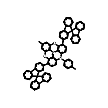 Cc1ccc(N2c3ccc(-c4ccc5c(c4)C4(c6ccccc6-c6ccccc64)c4ccccc4-5)c4c3P3(=S)c5c(cc(C)cc5Oc5c(-c6ccc7c(c6)C6(c8ccccc8-c8ccccc86)c6ccccc6-7)ccc2c53)O4)cc1